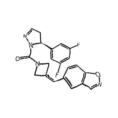 O=C(N1CC(=Cc2ccc3oncc3c2)C1)N1N=CC[C@H]1c1cc(F)cc(F)c1